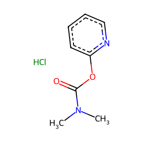 CN(C)C(=O)Oc1ccccn1.Cl